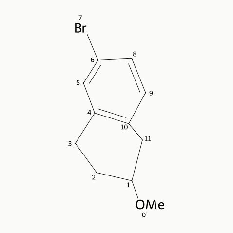 COC1CCc2cc(Br)ccc2C1